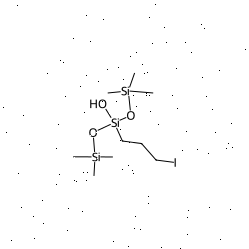 C[Si](C)(C)O[Si](O)(CCCI)O[Si](C)(C)C